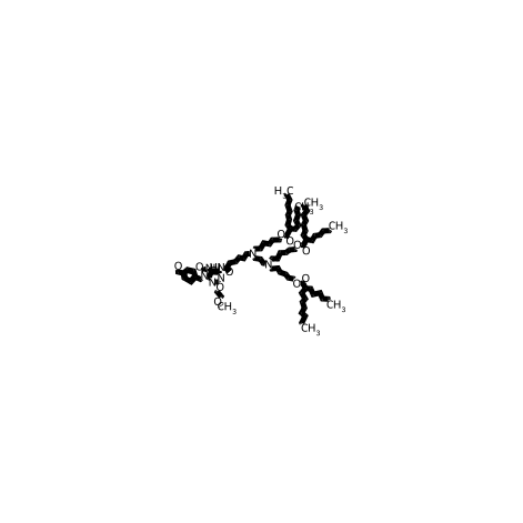 CCCCCCCCC(CCCCCC)C(=O)OCCCCCCN(CCCCCCOC(=O)C(CCCCCC)CCCCCCCC)CCCN(CCCCCCOC(=O)C(CCCCCC)CCCCCCCC)CCCCCC(=O)Nc1nc(OCCOC)nc2c1[nH]c(=O)n2Cc1ccc(C=O)cc1